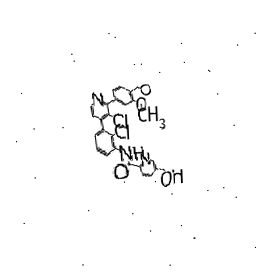 COc1cc(-c2nccc(-c3cccc(NC(=O)c4ccc(CO)cn4)c3Cl)c2Cl)ccc1C=O